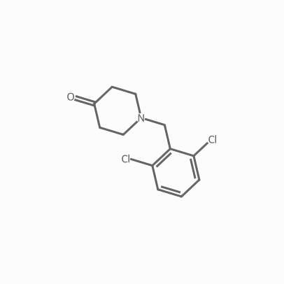 O=C1CCN(Cc2c(Cl)cccc2Cl)CC1